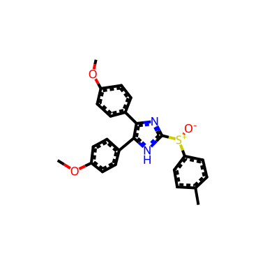 COc1ccc(-c2nc([S+]([O-])c3ccc(C)cc3)[nH]c2-c2ccc(OC)cc2)cc1